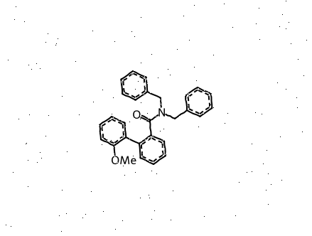 COc1ccccc1-c1ccccc1C(=O)N(Cc1ccccc1)Cc1ccccc1